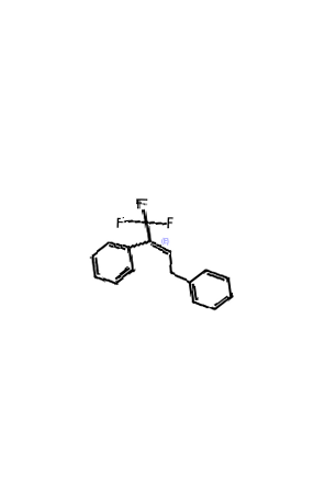 FC(F)(F)/C(=C/Cc1ccccc1)c1ccccc1